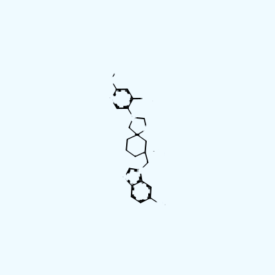 CCOc1cc(C)c(N2COC3(CCC[C@](C)(Cn4cnc5ccc(C#N)cc54)C3)C2)cn1